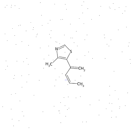 C=C(/C=C\C)c1scnc1C